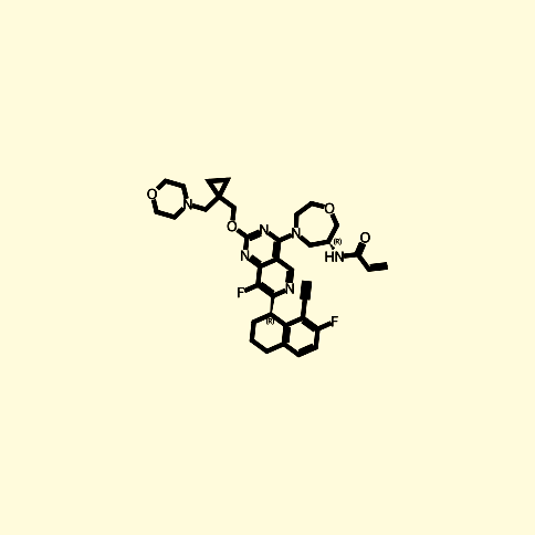 C#Cc1c(F)ccc2c1[C@H](c1ncc3c(N4CCOC[C@H](NC(=O)C=C)C4)nc(OCC4(CN5CCOCC5)CC4)nc3c1F)CCC2